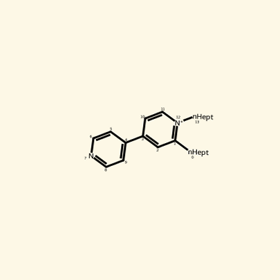 CCCCCCCc1cc(-c2ccncc2)cc[n+]1CCCCCCC